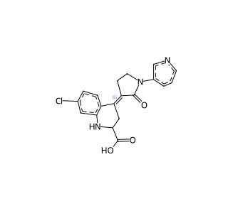 O=C(O)C1C/C(=C2/CCN(c3cccnc3)C2=O)c2ccc(Cl)cc2N1